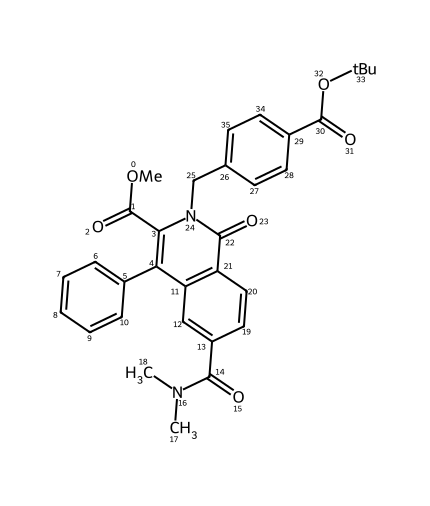 COC(=O)c1c(-c2ccccc2)c2cc(C(=O)N(C)C)ccc2c(=O)n1Cc1ccc(C(=O)OC(C)(C)C)cc1